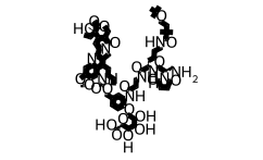 CCCCc1c2c(nc3cc4c(c(NC(=O)OCc5ccc(O[C@@H]6O[C@H](C(=O)O)[C@@H](O)[C@H](O)[C@H]6O)c(NC(=O)CCNC(=O)[C@H](CCCCNC(=O)C(C)(C)CCOC(C)(C)C)NC(=O)[C@@H](CN)N6C(=O)C=CC6=O)c5)c13)OCO4)-c1cc3c(c(=O)n1C2)COC(=O)[C@]3(O)CC